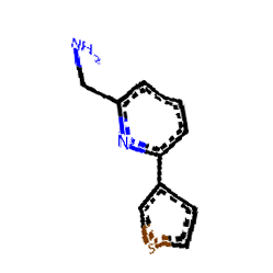 NCc1cccc(-c2ccsc2)n1